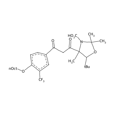 CCCCCCCCOc1ccc(C(=O)CC(=O)C2(C)C(C(C)(C)C)OC(C)(C)N2C(=O)O)cc1C(F)(F)F